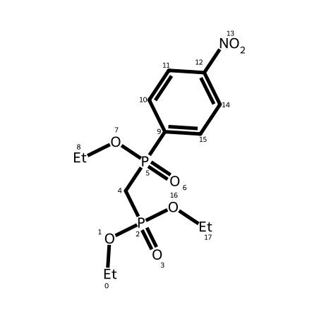 CCOP(=O)(CP(=O)(OCC)c1ccc([N+](=O)[O-])cc1)OCC